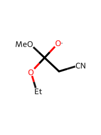 CCOC([O])(CC#N)OC